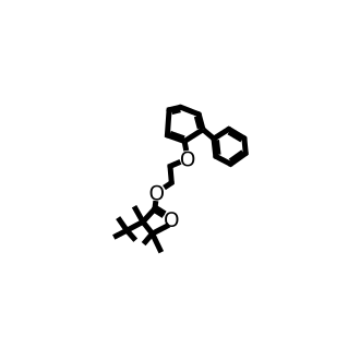 CC(C)(C)C(C)(C(=O)OCCOc1ccccc1-c1ccccc1)C(C)(C)C